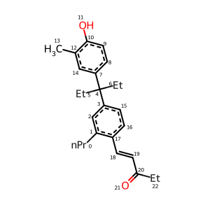 CCCc1cc(C(CC)(CC)c2ccc(O)c(C)c2)ccc1C=CC(=O)CC